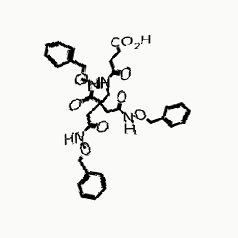 O=C(O)CCC(=O)NCC(CC(=O)NOCc1ccccc1)(CC(=O)NOCc1ccccc1)C(=O)NOCc1ccccc1